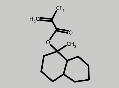 C=C(C(=O)OC1(C)CCCC2CCCCC21)C(F)(F)F